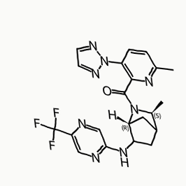 Cc1ccc(-n2nccn2)c(C(=O)N2[C@@H]3CC(CC3Nc3cnc(C(F)(F)F)cn3)[C@@H]2C)n1